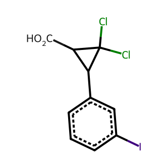 O=C(O)C1C(c2cccc(I)c2)C1(Cl)Cl